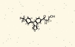 C[C@@H](CO)NC(=O)c1ccc2c(c1)c1csnc1n2-c1ccc(C(F)(F)F)cc1